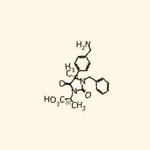 C[C@@H](C(=O)O)N1C(=O)N(Cc2ccccc2)[C@](C)(c2ccc(CN)cc2)C1=O